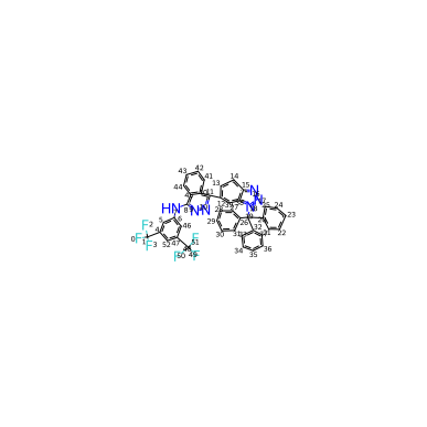 FC(F)(F)c1cc(Nc2nnc(-c3ccc4nnn(C(c5ccccc5)(c5ccccc5)c5ccccc5)c4c3)c3ccccc23)cc(C(F)(F)F)c1